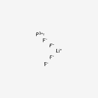 [F-].[F-].[F-].[F-].[Li+].[P+3]